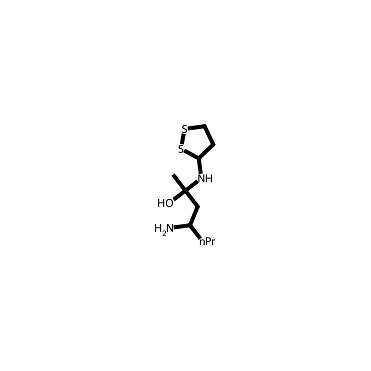 CCCC(N)CC(C)(O)NC1CCSS1